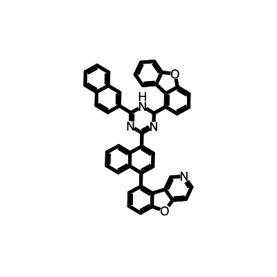 c1ccc2cc(C3=NC(c4ccc(-c5cccc6oc7ccncc7c56)c5ccccc45)=NC(c4cccc5oc6ccccc6c45)N3)ccc2c1